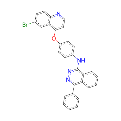 Brc1ccc2nccc(Oc3ccc(Nc4nnc(-c5ccccc5)c5ccccc45)cc3)c2c1